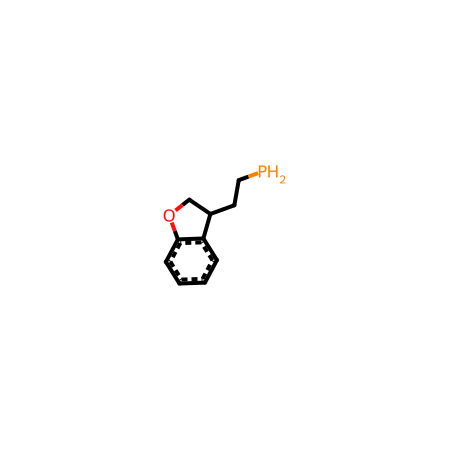 PCCC1COc2ccccc21